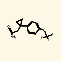 NC(=O)CC1(c2ccc(OC(F)(F)F)cc2)CC1